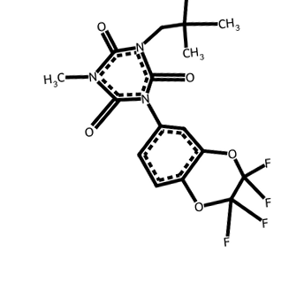 Cn1c(=O)n(CC(C)(C)C)c(=O)n(-c2ccc3c(c2)OC(F)(F)C(F)(F)O3)c1=O